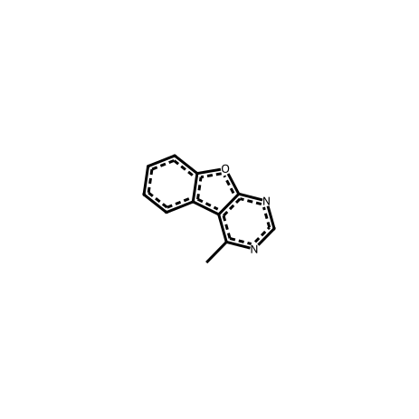 Cc1ncnc2oc3ccccc3c12